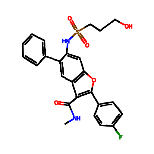 CNC(=O)c1c(-c2ccc(F)cc2)oc2cc(NS(=O)(=O)CCCO)c(-c3ccccc3)cc12